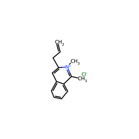 C=CCc1cc2ccccc2c(C)[n+]1C.[Cl-]